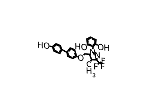 CC1C(C(F)(F)F)=NN(c2c(O)cccc2O)C1COc1ccc(-c2ccc(O)cc2)cc1